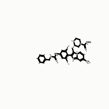 COC(=O)N1CCO[C@@H](Cc2c(-c3c(F)cc(NC(=O)OCc4ccccc4)cc3F)nc3cc(C)ccn23)C1